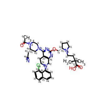 CC(=O)N1CCN(c2nc(OC[C@@H]3CCCN3CCC(C)(C)C(=O)O)nc3c2CCN(c2cccc4cccc(Cl)c24)C3)C[C@@H]1CC#N